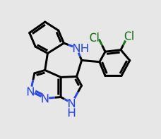 Clc1cccc(C2Nc3ccccc3-c3cnnc4[nH]cc2c34)c1Cl